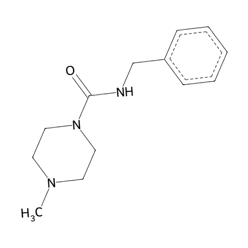 CN1CCN(C(=O)NCc2ccccc2)CC1